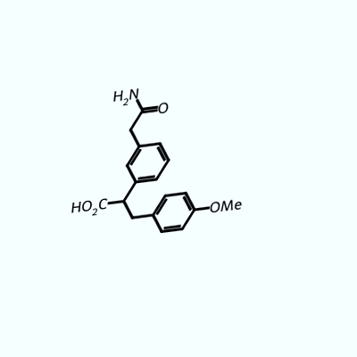 COc1ccc(CC(C(=O)O)c2cccc(CC(N)=O)c2)cc1